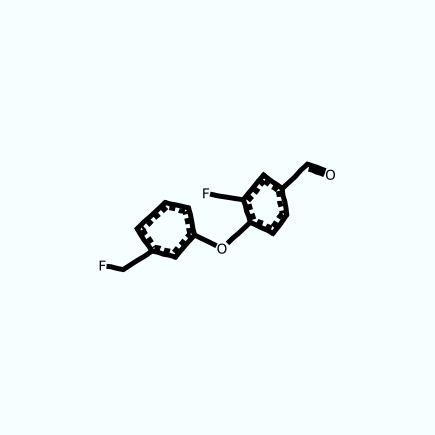 O=Cc1ccc(Oc2cccc(CF)c2)c(F)c1